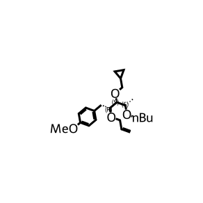 C=CCO[C@H](Cc1ccc(OC)cc1)[C@@H](OCC1CC1)[C@H](C)OCCCC